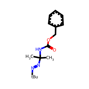 CC(C)(C)/N=N/C(C)(C)NC(=O)OCc1ccccc1